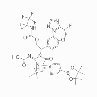 CC(C)(C)C[C@]1(c2ccc(B3OC(C)(C)C(C)(C)O3)cc2)NC(=NC(=O)O)N(C(COC(=O)NC2(C(F)(F)F)CC2)c2ccc(Cl)c(-n3ncnc3C(F)F)c2)C1=O